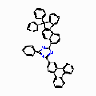 c1ccc(-c2nc(-c3ccc4c5ccccc5c5ccccc5c4c3)nc(-c3cccc4c5c(ccc34)C(c3ccccc3)(c3ccccc3)c3ccccc3-5)n2)cc1